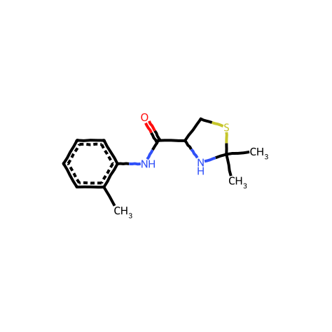 Cc1ccccc1NC(=O)C1CSC(C)(C)N1